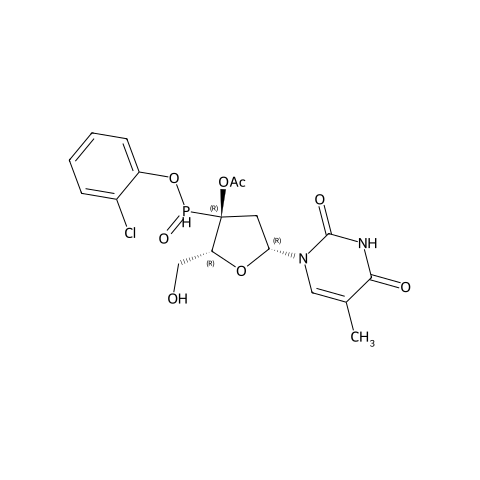 CC(=O)O[C@@]1([PH](=O)Oc2ccccc2Cl)C[C@H](n2cc(C)c(=O)[nH]c2=O)O[C@@H]1CO